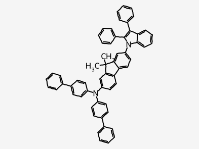 CC1(C)c2cc(N(c3ccc(-c4ccccc4)cc3)c3ccc(-c4ccccc4)cc3)ccc2-c2ccc(-n3c(-c4ccccc4)c(-c4ccccc4)c4ccccc43)cc21